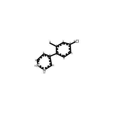 Cc1cc(Cl)ccc1-c1ccnnc1